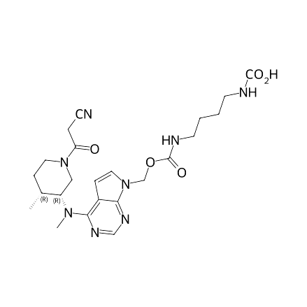 C[C@@H]1CCN(C(=O)CC#N)C[C@@H]1N(C)c1ncnc2c1ccn2COC(=O)NCCCCNC(=O)O